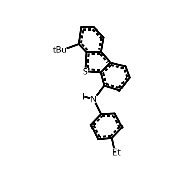 CCc1ccc(N(I)c2cccc3c2sc2c(C(C)(C)C)cccc23)cc1